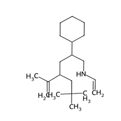 C=CNCC(CC(CC(C)(C)C)C(=C)C)C1CCCCC1